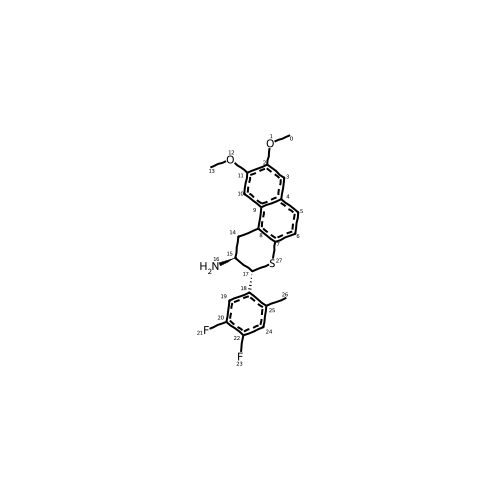 COc1cc2ccc3c(c2cc1OC)C[C@H](N)[C@@H](c1cc(F)c(F)cc1C)S3